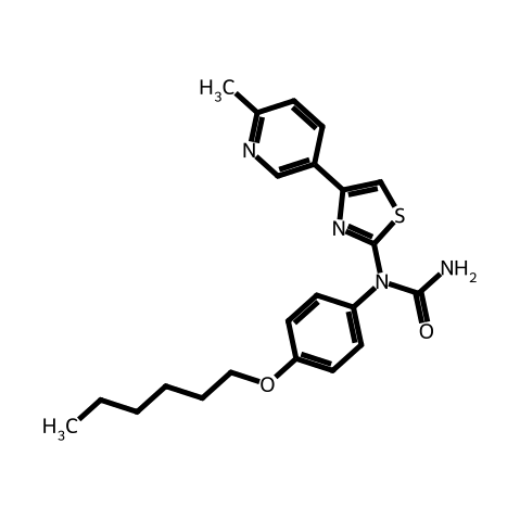 CCCCCCOc1ccc(N(C(N)=O)c2nc(-c3ccc(C)nc3)cs2)cc1